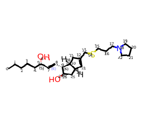 CCCCC[C@H](O)/C=C/[C@@H]1[C@H]2CC(CSCCCN3CCCC3)=C[C@H]2C[C@H]1O